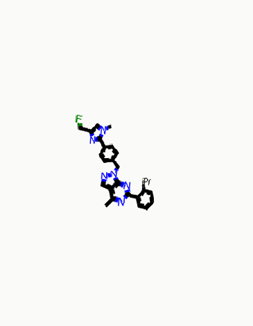 Cc1nc(-c2ccccc2C(C)C)nc2c1cnn2Cc1ccc(-c2nc(CF)cn2C)cc1